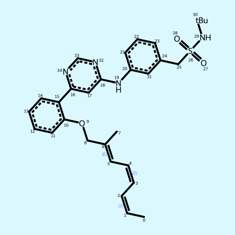 C\C=C/C=C\C=C(/C)COc1ccccc1-c1cc(Nc2cccc(CS(=O)(=O)NC(C)(C)C)c2)ncn1